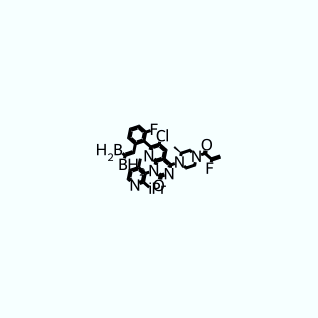 BC(B)=Cc1cccc(F)c1-c1nc2c(cc1Cl)c(N1CCN(C(=O)C(=C)F)C[C@@H]1C)nc(=O)n2-c1c(C)ccnc1C(C)C